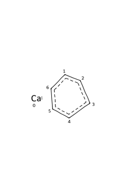 [Ca].c1ccccc1